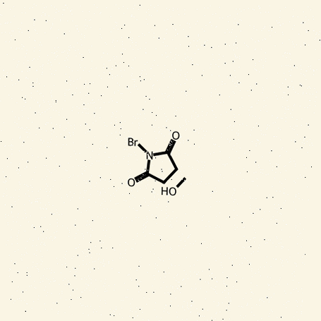 CO.O=C1CCC(=O)N1Br